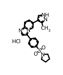 Cc1n[nH]cc1-c1ccc2ncc(-c3ccc(S(=O)(=O)N4CCCC4)cc3)n2c1.Cl